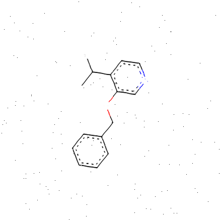 CC(C)C(C)c1ccncc1OCc1ccccc1